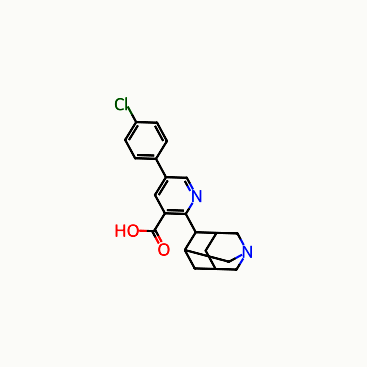 O=C(O)c1cc(-c2ccc(Cl)cc2)cnc1C1C2CC3CC1CN(C3)C2